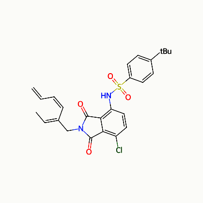 C=C/C=C\C(=C/C)CN1C(=O)c2c(Cl)ccc(NS(=O)(=O)c3ccc(C(C)(C)C)cc3)c2C1=O